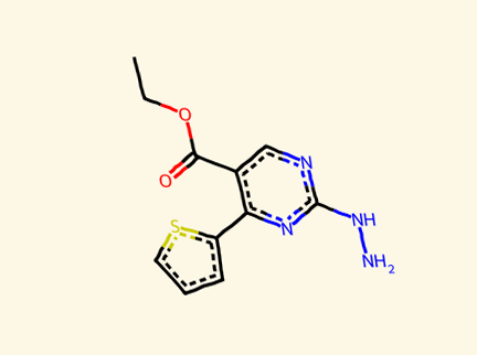 CCOC(=O)c1cnc(NN)nc1-c1cccs1